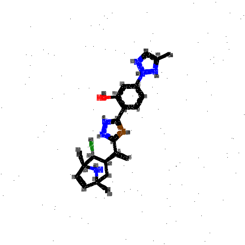 C=C(c1nnc(-c2ccc(-n3ncc(C)n3)cc2O)s1)[C@H]1C[C@@H]2C=C[C@@H](N2)[C@@H]1F